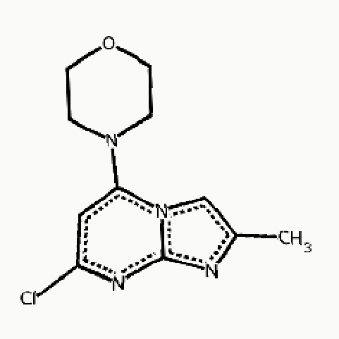 Cc1cn2c(N3CCOCC3)cc(Cl)nc2n1